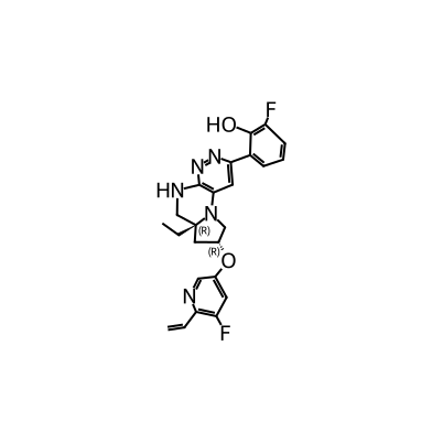 C=Cc1ncc(O[C@H]2CN3c4cc(-c5cccc(F)c5O)nnc4NC[C@@]3(CC)C2)cc1F